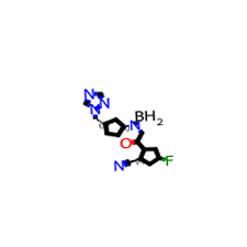 BN(CC(=O)C1CC(F)C[C@H]1C#N)[C@@H]1CC[C@H](Cn2cncn2)C1